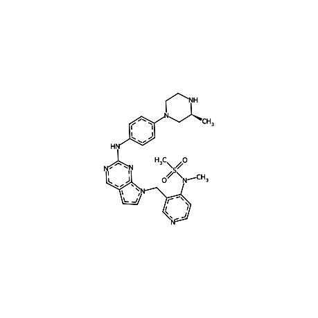 C[C@H]1CN(c2ccc(Nc3ncc4ccn(Cc5cnccc5N(C)S(C)(=O)=O)c4n3)cc2)CCN1